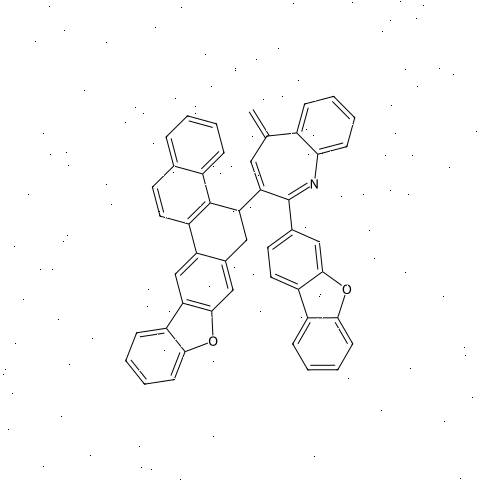 C=C1C=C(C2Cc3cc4oc5ccccc5c4cc3-c3ccc4ccccc4c32)C(c2ccc3c(c2)oc2ccccc23)=Nc2ccccc21